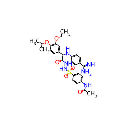 CCOc1cc(C(Nc2ccc(C(=N)N)cc2)C(=O)NNS(=O)(=O)c2ccc(NC(C)=O)cc2)ccc1OC(C)C